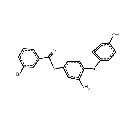 Nc1cc(NC(=O)c2cccc(Br)c2)ccc1Sc1ccc(O)cc1